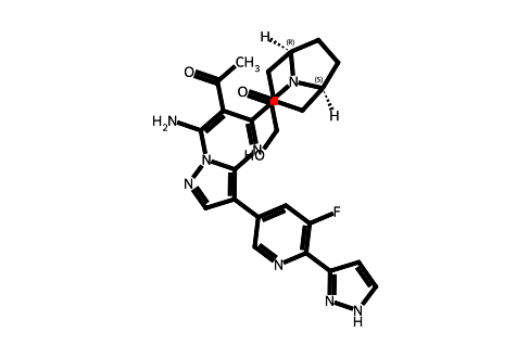 CC(=O)c1c(C2C[C@H]3CC[C@@H](C2)N3C(=O)CO)nc2c(-c3cnc(-c4cc[nH]n4)c(F)c3)cnn2c1N